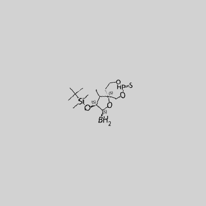 B[C@@H]1O[C@@]2(CCO[PH](=S)OC2)C(C)[C@@H]1O[Si](C)(C)C(C)(C)C